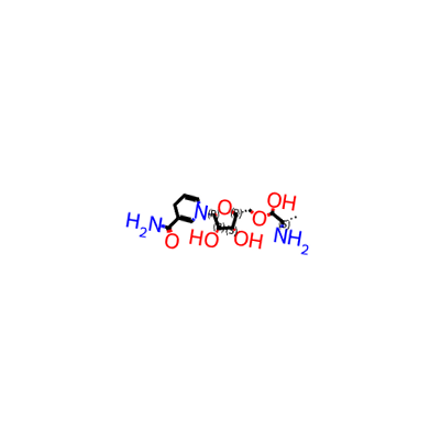 C[C@H](N)C(O)OC[C@H]1O[C@@H](N2C=CCC(C(N)=O)=C2)[C@H](O)[C@@H]1O